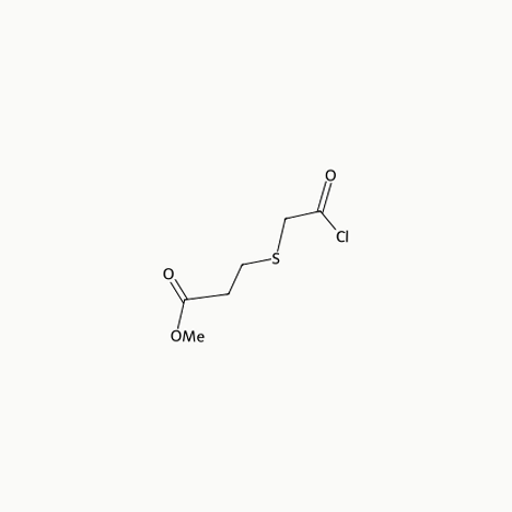 COC(=O)CCSCC(=O)Cl